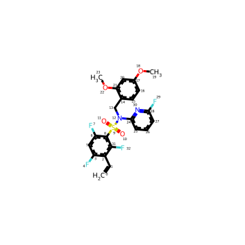 C=Cc1c(F)cc(F)c(S(=O)(=O)N(Cc2ccc(OC)cc2OC)c2cccc(F)n2)c1F